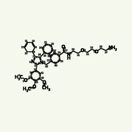 COc1cc(-c2nc(C3C=CC=CC3)c(-c3ccccc3)n2Cc2ccc(C(=O)NCCOCCOCCN)cc2)cc(OC)c1OC